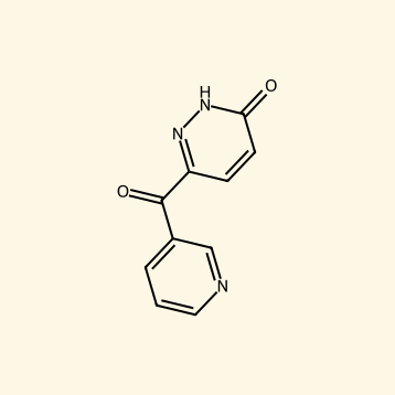 O=C(c1cccnc1)c1ccc(=O)[nH]n1